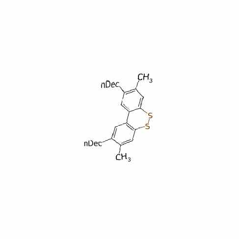 CCCCCCCCCCc1cc2c(cc1C)SSc1cc(C)c(CCCCCCCCCC)cc1-2